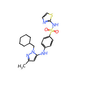 Cc1cc(Nc2ccc(S(=O)(=O)Nc3nccs3)cc2)n(CC2CCCCC2)n1